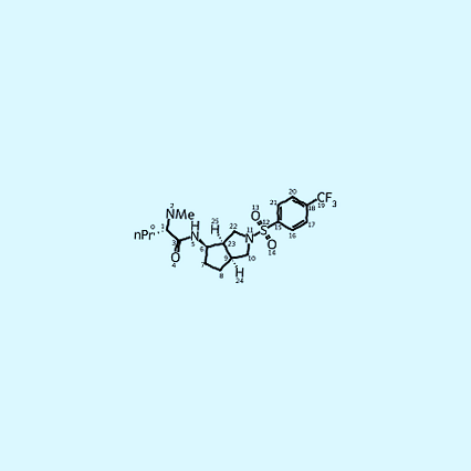 CCC[C@H](NC)C(=O)N[C@@H]1CC[C@@H]2CN(S(=O)(=O)c3ccc(C(F)(F)F)cc3)C[C@@H]21